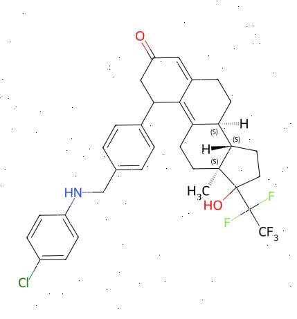 C[C@]12CCC3=C4C(=CC(=O)CC4c4ccc(CNc5ccc(Cl)cc5)cc4)CC[C@H]3[C@@H]1CCC2(O)C(F)(F)C(F)(F)F